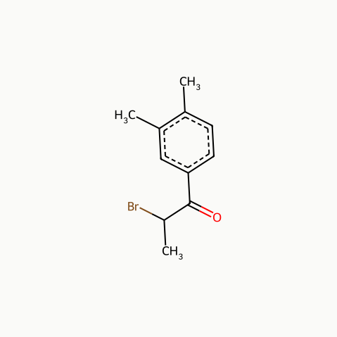 Cc1ccc(C(=O)C(C)Br)cc1C